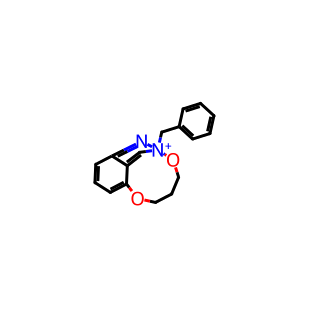 C1=c2c3cccc2=N[N+]1(Cc1ccccc1)OCCCO3